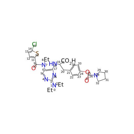 CCN(CC)c1ncc(N(CC)C(=O)c2ccc(Cl)s2)c(NC(Cc2ccc(OC(=O)N3CCCC3)cc2)C(=O)O)n1